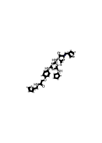 O=C(COc1ccc(Nc2nc(NC3CCCC3)nc(NN3C(=O)/C(=C/c4ccsc4)SC3=S)n2)cc1)NCc1cccs1